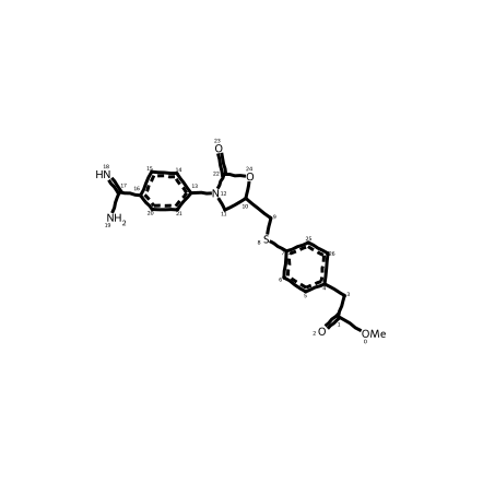 COC(=O)Cc1ccc(SCC2CN(c3ccc(C(=N)N)cc3)C(=O)O2)cc1